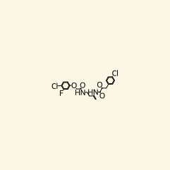 C=C(CCNC(=O)COc1ccc(Cl)c(F)c1)NC(=O)C(=O)Cc1ccc(Cl)cc1